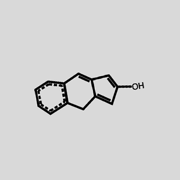 OC1=CC2=Cc3ccccc3CC2=C1